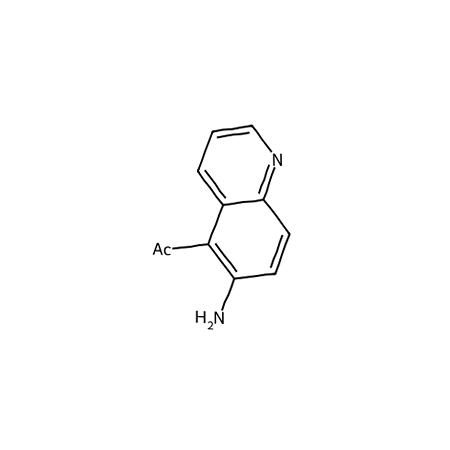 CC(=O)c1c(N)ccc2ncccc12